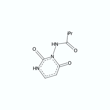 CC(C)C(=O)Nn1c(=O)cc[nH]c1=O